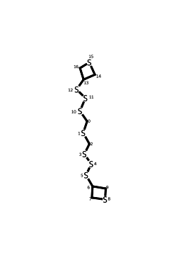 C(SCSSSC1CSC1)SSSC1CSC1